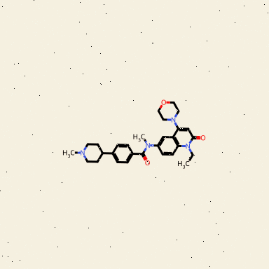 CCn1c(=O)cc(N2CCOCC2)c2cc(N(C)C(=O)c3ccc(C4CCN(C)CC4)cc3)ccc21